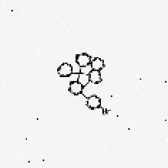 Brc1ccc(-c2cccc3c2-c2ccc4ccccc4c2C3(c2ccccc2)c2ccccc2)cc1